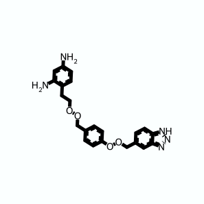 Nc1ccc(CCOOCc2ccc(OOCc3ccc4[nH]nnc4c3)cc2)c(N)c1